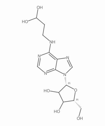 OC[C@H]1O[C@@H](n2cnc3c(NCCC(O)O)ncnc32)C(O)C1O